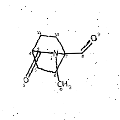 CN1C(=O)C2CCC1(C=O)CC2